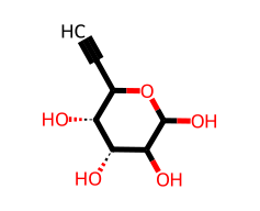 C#CC1OC(O)C(O)[C@H](O)[C@@H]1O